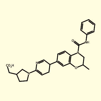 CC1CN(C(=O)Nc2ccccc2)c2ccc(C3C=NC(N4CCC(CC(=O)O)C4)=CC3)cc2O1